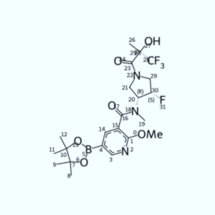 COc1ncc(B2OC(C)(C)C(C)(C)O2)cc1C(=O)N(C)[C@@H]1CN(C(=O)[C@@](C)(O)C(F)(F)F)C[C@@H]1F